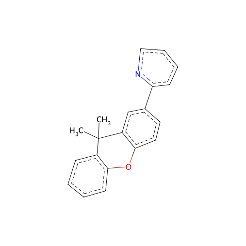 CC1(C)c2ccccc2Oc2ccc(-c3ccccn3)cc21